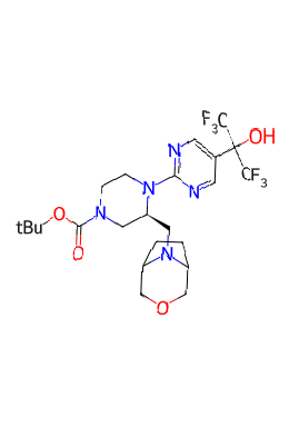 CC(C)(C)OC(=O)N1CCN(c2ncc(C(O)(C(F)(F)F)C(F)(F)F)cn2)[C@@H](CN2C3CCC2COC3)C1